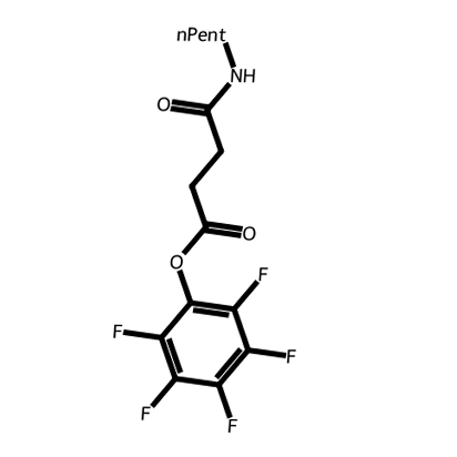 CCCCCNC(=O)CCC(=O)Oc1c(F)c(F)c(F)c(F)c1F